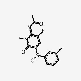 CC(=O)/N=c1\c(F)cn([S+]([O-])c2cccc(C)c2)c(=O)n1C